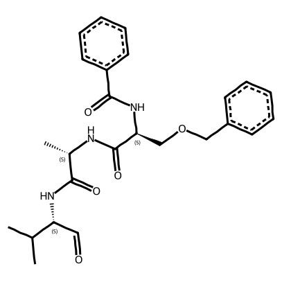 CC(C)[C@@H](C=O)NC(=O)[C@H](C)NC(=O)[C@H](COCc1ccccc1)NC(=O)c1ccccc1